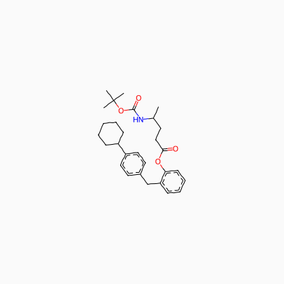 CC(CCC(=O)Oc1ccccc1Cc1ccc(C2CCCCC2)cc1)NC(=O)OC(C)(C)C